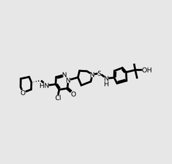 CC(C)(O)c1ccc(NSN2CCC(n3ncc(NC[C@H]4CCCOC4)c(Cl)c3=O)CC2)cc1